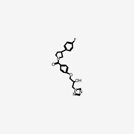 O=C(c1ccc(OCC(O)Cn2cncn2)cc1)N1CCC(c2ccc(F)cc2)C1